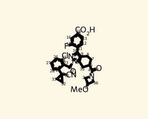 COC1CN(C(=O)C2CCc3c(-c4ccc(C(=O)O)cc4F)nn(C(=O)c4c(Cl)cccc4C4(C#N)CC4)c3C2)C1